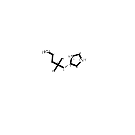 CC(C)(CCO)C[C@H]1CNCN1